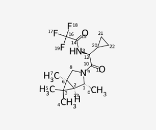 C[C@@H]1[C@H]2C(C)(C)[C@@]2(C)CN1C(=O)[C@@H](NC(=O)C(F)(F)F)C1CC1